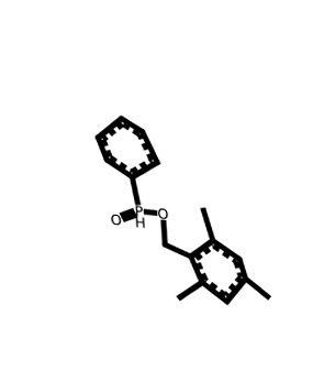 Cc1cc(C)c(CO[PH](=O)c2ccccc2)c(C)c1